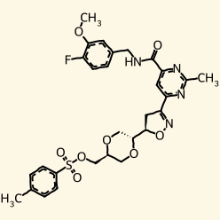 COc1cc(CNC(=O)c2cc(C3=NO[C@@H]([C@H]4CO[C@H](COS(=O)(=O)c5ccc(C)cc5)CO4)C3)nc(C)n2)ccc1F